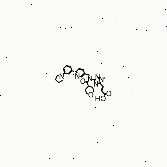 Cn1nc(N(Cc2ccc(-c3cccc(N4CCCC4)c3)nc2)C(=O)C2CCOCC2)nc1C=CC(=O)O